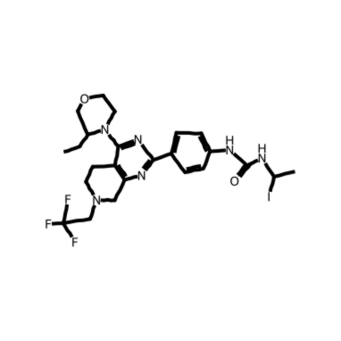 CCC1COCCN1c1nc(-c2ccc(NC(=O)NC(C)I)cc2)nc2c1CCN(CC(F)(F)F)C2